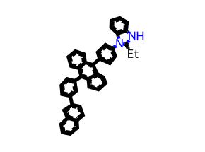 CCC1Nc2ccccc2N1c1ccc(-c2c3ccccc3c(-c3cccc(-c4ccc5ccccc5c4)c3)c3ccccc23)cc1